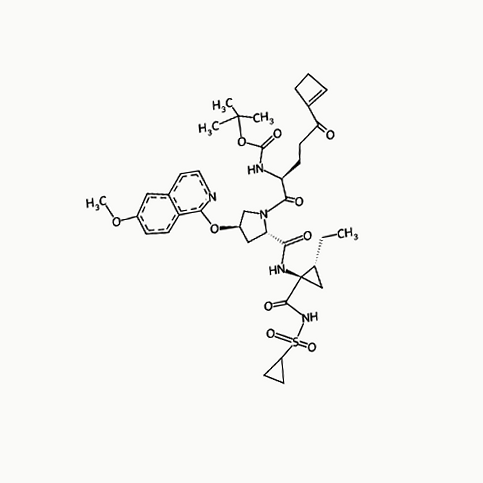 CC[C@@H]1C[C@]1(NC(=O)[C@@H]1C[C@@H](Oc2nccc3cc(OC)ccc23)CN1C(=O)[C@H](CCC(=O)C1=CCC1)NC(=O)OC(C)(C)C)C(=O)NS(=O)(=O)C1CC1